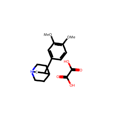 COc1ccc(C2CN3CCC2CC3)cc1OC.O=C(O)C(=O)O